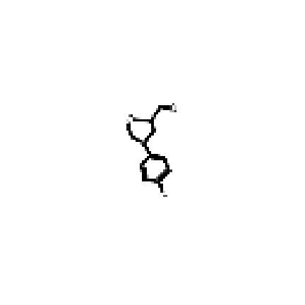 O=CC1CC(c2ccc(F)cc2)CCO1